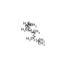 CC(C)=CCCC(C)=CCCC(C)=CC=CC(C)=CC(=O)N(C)C